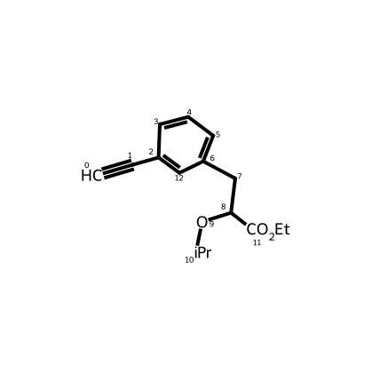 C#Cc1cccc(CC(OC(C)C)C(=O)OCC)c1